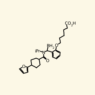 BC(c1ccccc1OCCCCCC(=O)O)N(C(=O)C1CCC(c2ccco2)CC1)C(C)C